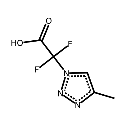 Cc1cn(C(F)(F)C(=O)O)nn1